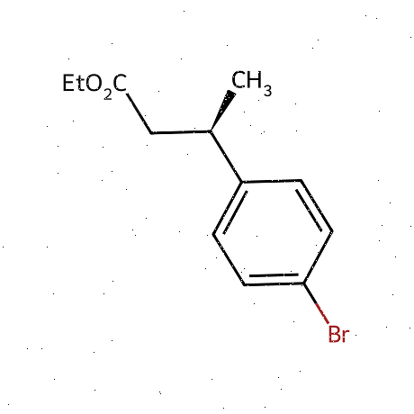 CCOC(=O)C[C@@H](C)c1ccc(Br)cc1